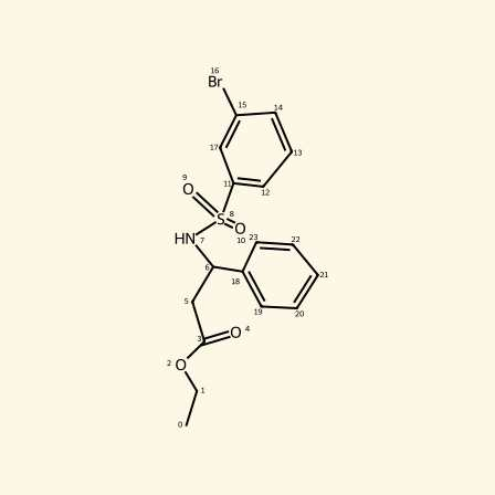 CCOC(=O)CC(NS(=O)(=O)c1cccc(Br)c1)c1ccccc1